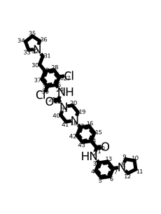 O=C(Nc1cccc(N2CCCC2)c1)c1ccc(N2CCN(C(=O)Nc3c(Cl)cc(CCN4CCCC4)cc3Cl)CC2)cc1